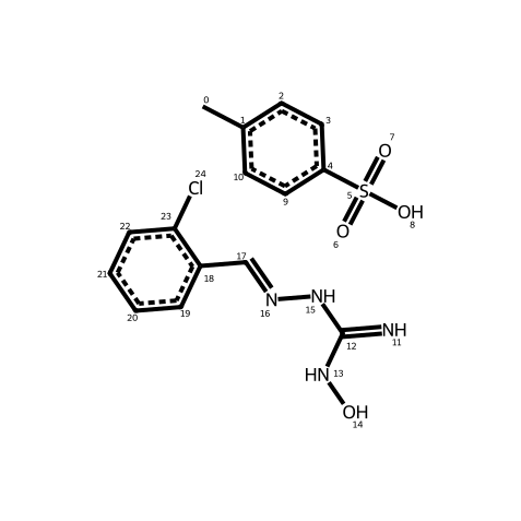 Cc1ccc(S(=O)(=O)O)cc1.N=C(NO)NN=Cc1ccccc1Cl